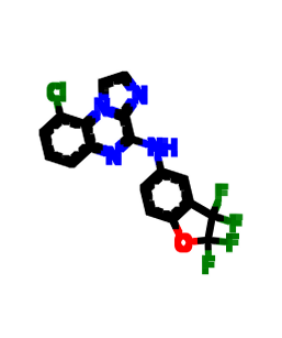 FC1(F)Oc2ccc(Nc3nc4cccc(Cl)c4n4ccnc34)cc2C1(F)F